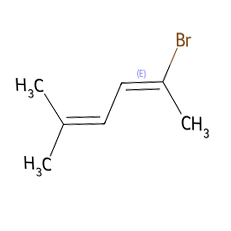 CC(C)=C/C=C(\C)Br